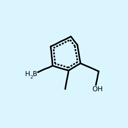 Bc1cccc(CO)c1C